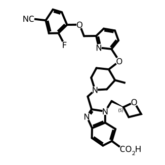 CC1CN(Cc2nc3ccc(C(=O)O)cc3n2C[C@@H]2CCO2)CCC1Oc1cccc(COc2ccc(C#N)cc2F)n1